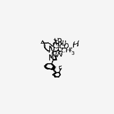 Cc1nc2cc(-c3cccc(-c4ccccc4F)c3)nn2c(N2CCC3(CC2)CC3)c1[C@H](OC(C)(C)C)C(=O)O